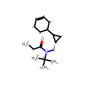 CCC(=O)N(C[C@H]1CC1C1CC=CCC1)C(C)(C)C